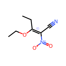 CCO/C(CC)=C(/C#N)[N+](=O)[O-]